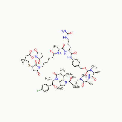 CC[C@H](C)[C@@H]([C@@H](CC(=O)N1C[C@H](OC)C[C@H]1[C@H](OC)[C@@H](C)C(=O)N[C@@H](C)C(=O)c1ccc(F)cc1)OC)N(C)C(=O)[C@@H](NC(=O)[C@H](C(C)C)N(C)C(=O)OCc1ccc(NC(=O)[C@H](CCCNC(N)=O)NC(=O)[C@@H](NC(=O)CCCCCN2C(=O)CC(SCC3(CC(=O)ON4C(=O)CCC4=O)CC3)C2=O)C(C)C)cc1)C(C)C